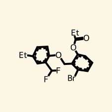 CCC(=O)Oc1cccc(Br)c1COc1ccc(CC)cc1C(F)F